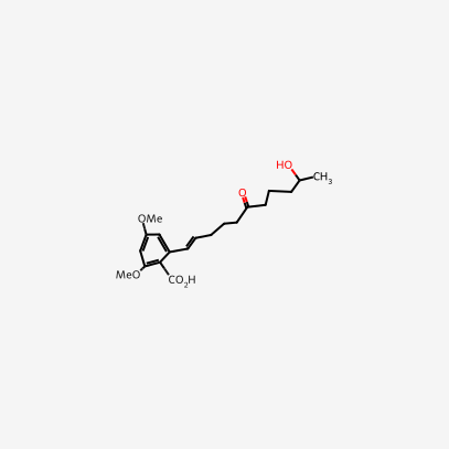 COc1cc(/C=C/CCCC(=O)CCCC(C)O)c(C(=O)O)c(OC)c1